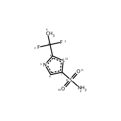 CC(F)(F)c1ncc(S(N)(=O)=O)s1